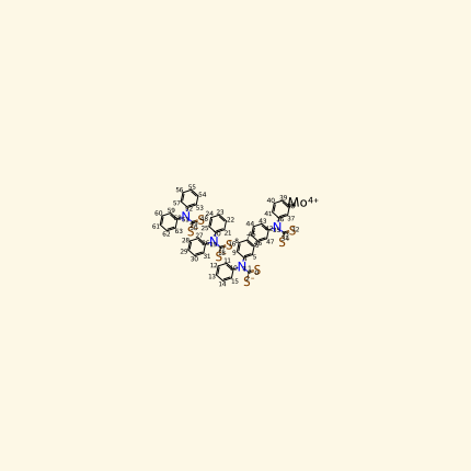 S=C([S-])N(c1ccccc1)c1ccccc1.S=C([S-])N(c1ccccc1)c1ccccc1.S=C([S-])N(c1ccccc1)c1ccccc1.S=C([S-])N(c1ccccc1)c1ccccc1.[Mo+4]